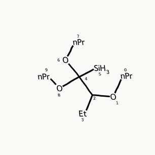 CCCOC(CC)C([SiH3])(OCCC)OCCC